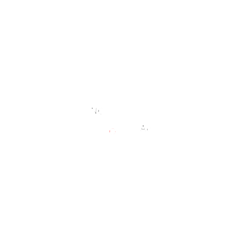 CC.CC(=O)OC#N